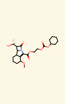 COC1CCCC2C1=C(C(=O)OCCOC(=O)OC1CCCCC1)N1C(=O)C([C@@H](C)O)C21